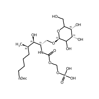 CCCCCCCCCCCCCC[C@@H](C)[C@@H](O)[C@H](CO[C@H]1OC(CO)[C@H](O)[C@H](O)C1O)NC(=O)OCOP(=O)(O)O